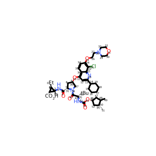 CC[C@@H]1C[C@]1(NC(=O)[C@@H]1C[C@@H](Oc2cc(C3CCCCC3)nc3c(Cl)c(OCCN4CCOCC4)ccc23)CN1C(=O)[C@@H](NC(=O)O[C@@H]1CC(C)[C@H](C)C1)C(C)(C)C)C(=O)O